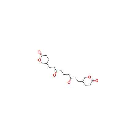 O=C(CCCC(=O)CCC1CCC(=O)OC1)CCC1CCC(=O)OC1